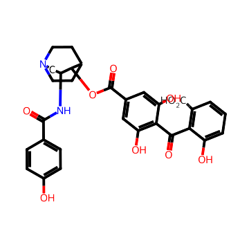 O=C(NC1CN2CCC(CC2)C1OC(=O)c1cc(O)c(C(=O)c2c(O)cccc2C(=O)O)c(O)c1)c1ccc(O)cc1